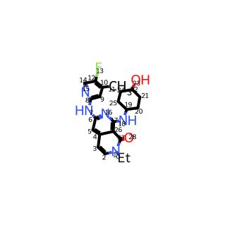 CCn1ccc2cc(Nc3cc(C)c(F)cn3)nc(NC3CCC(O)CC3)c2c1=O